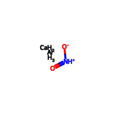 O=[NH+][O-].[AlH3].[CaH2]